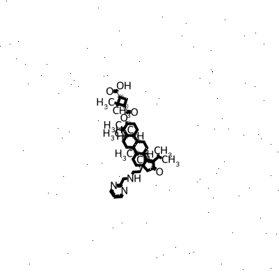 CC(C)C1=C2[C@H]3CC[C@@H]4[C@@]5(C)CC[C@H](OC(=O)[C@H]6C[C@@H](C(=O)O)C6(C)C)C(C)(C)[C@@H]5CC[C@@]4(C)[C@]3(C)CC[C@@]2(CCNCc2ncccn2)CC1=O